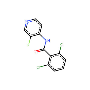 O=C(Nc1ccncc1F)c1c(Cl)cccc1Cl